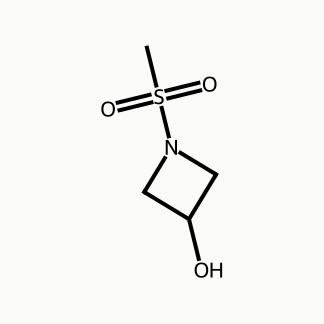 CS(=O)(=O)N1CC(O)C1